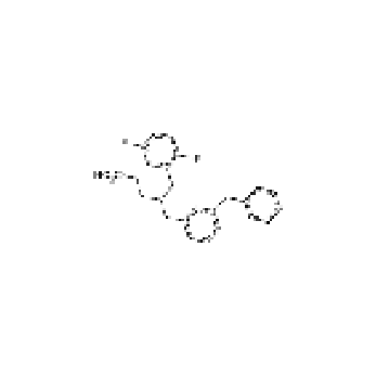 O=C(O)CCN(Cc1cccc(Cc2ccccc2)c1)Cc1cc(F)ccc1F